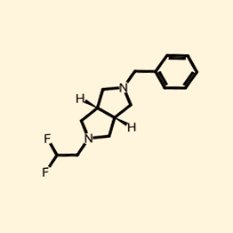 FC(F)CN1C[C@H]2CN(Cc3ccccc3)C[C@H]2C1